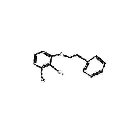 N#Cc1cccc(OCCc2ccccc2)c1C(F)(F)F